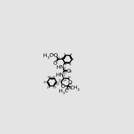 COC(=O)c1ccccc1NC(=O)N[C@H]1COC(C)(C)O[C@@H]1c1ccccc1